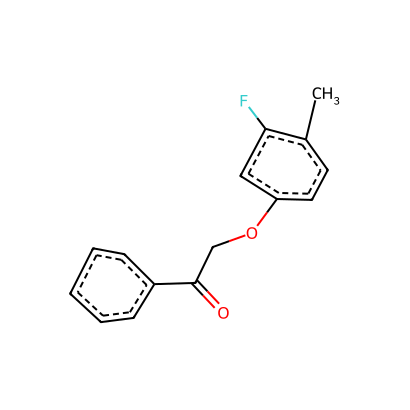 Cc1ccc(OCC(=O)c2ccccc2)cc1F